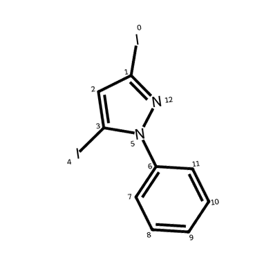 Ic1cc(I)n(-c2ccccc2)n1